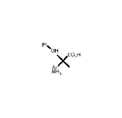 CC(=O)C(C)(C)C(=O)O.CC(C)O.[AlH3]